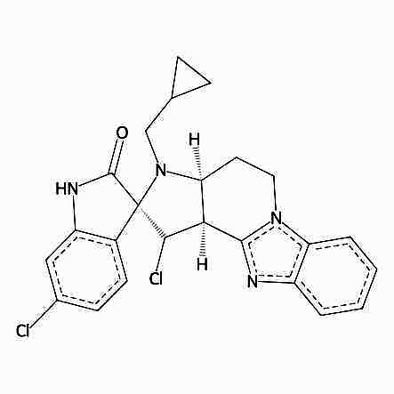 O=C1Nc2cc(Cl)ccc2[C@@]12C(Cl)[C@@H]1c3nc4ccccc4n3CC[C@@H]1N2CC1CC1